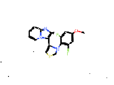 COc1cc(F)c(N2CSC=C2c2c(C)nc3ccccn23)c(F)c1